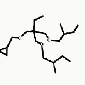 CCC(C)COCC(CC)(COCC(C)CC)COCC1CC1